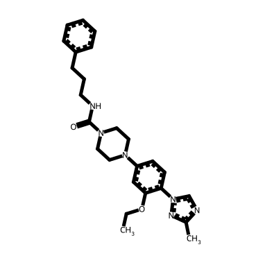 CCOc1cc(N2CCN(C(=O)NCCCc3ccccc3)CC2)ccc1-n1cnc(C)n1